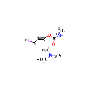 CCCCN(C(=O)O)C(C)C.CCCCNC(=O)OC#CCI